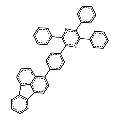 c1ccc(-c2nc(-c3ccccc3)c(-c3ccc(-c4ccc5c6c(cccc46)-c4ccccc4-5)cc3)nc2-c2ccccc2)cc1